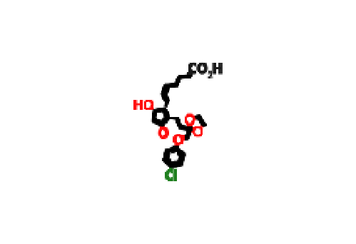 O=C(O)CCC/C=C\C[C@H]1[C@@H](O)CC(=O)[C@@H]1CCC1(COc2ccc(Cl)cc2)OCCO1